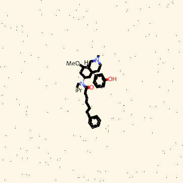 COC1C[C@@H](N(CC(C)C)C(=O)CCCCCc2ccccc2)C[C@]2(c3cccc(O)c3)CCN(C)C[C@@H]12